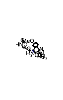 COc1ccc2c(c1)/C(=N\OC[C@H]1CNC(=O)O1)C(C)(C)c1c(N)ncnc1-2